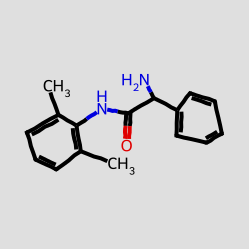 Cc1cccc(C)c1NC(=O)C(N)c1ccccc1